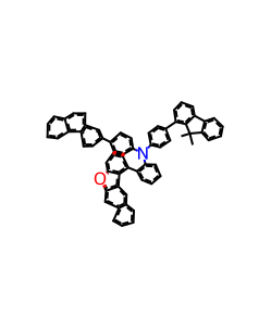 CC1(C)c2ccccc2-c2cccc(-c3ccc(N(c4ccc(-c5ccc6c(ccc7ccccc76)c5)cc4)c4ccccc4-c4cccc5oc6cc7ccccc7cc6c45)cc3)c21